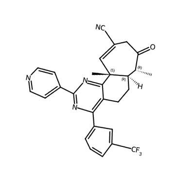 C[C@H]1C(=O)CC(C#N)=C[C@@]2(C)c3nc(-c4ccncc4)nc(-c4cccc(C(F)(F)F)c4)c3CC[C@H]12